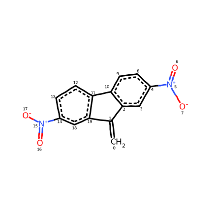 C=C1c2cc([N+](=O)[O-])ccc2-c2ccc([N+](=O)[O-])cc21